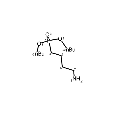 CCCCOP(=O)(CCCCN)OCCCC